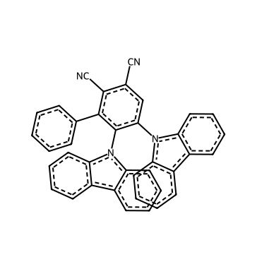 N#Cc1cc(-n2c3ccccc3c3ccccc32)c(-n2c3ccccc3c3ccccc32)c(-c2ccccc2)c1C#N